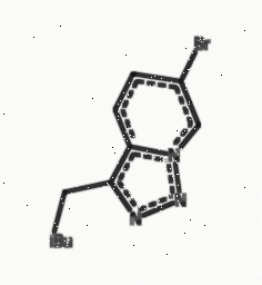 CCC(C)Cc1nnn2cc(Br)ccc12